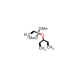 C=CC(C=C)O[Si](C=C)(OC)OC